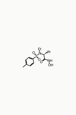 CCN([C@H](C(=O)NO)C(C)C)S(=O)(=O)c1ccc(C)cc1